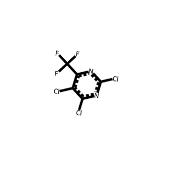 FC(F)(F)c1nc(Cl)nc(Cl)c1Cl